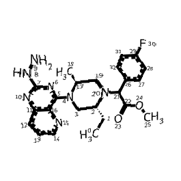 CC[C@@H]1CN(c2nc(NN)nc3cccnc23)[C@@H](C)CN1C(C(=O)OC)c1ccc(F)cc1